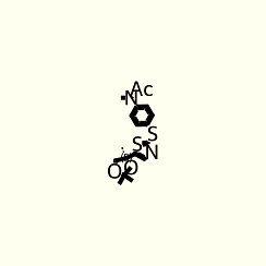 CC(=O)N(C)c1ccc(Sc2ncc([C@]3(C)COC(C)(C)O3)s2)cc1